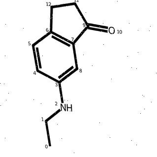 CCNc1ccc2c(c1)C(=O)CC2